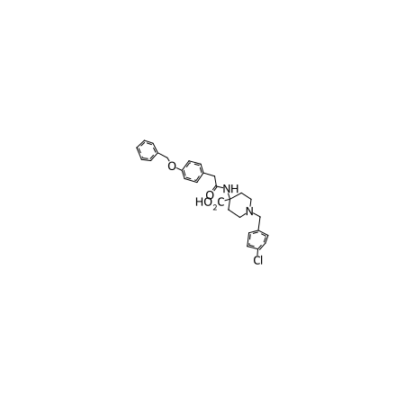 O=C(Cc1ccc(OCc2ccccc2)cc1)NC1(C(=O)O)CCN(Cc2ccc(Cl)cc2)CC1